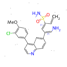 C=C/C(=C\C(=C/N)c1ccc2nccc(-c3ccc(OC)c(Cl)c3)c2c1)S(N)(=O)=O